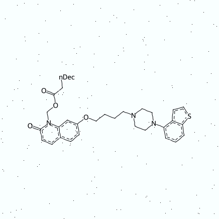 CCCCCCCCCCCC(=O)OCn1c(=O)ccc2ccc(OCCCCN3CCN(c4cccc5sccc45)CC3)cc21